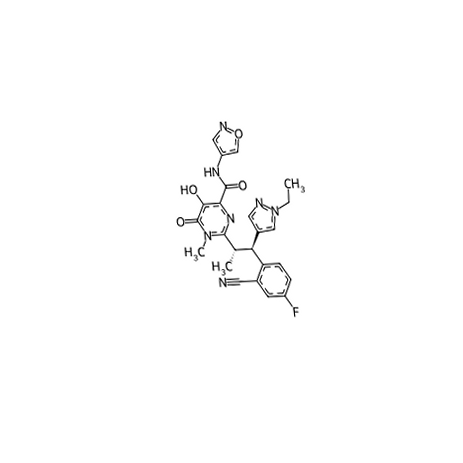 CCn1cc([C@@H](c2ccc(F)cc2C#N)[C@H](C)c2nc(C(=O)Nc3cnoc3)c(O)c(=O)n2C)cn1